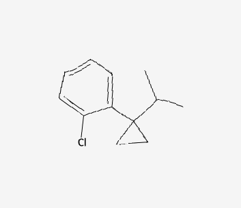 CC(C)C1(c2ccccc2Cl)CC1